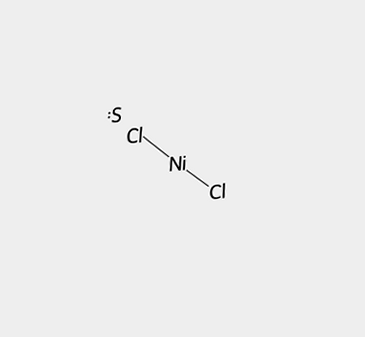 [Cl][Ni][Cl].[S]